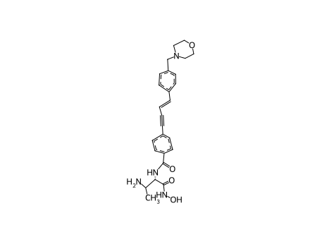 CC(N)[C@H](NC(=O)c1ccc(C#C/C=C/c2ccc(CN3CCOCC3)cc2)cc1)C(=O)NO